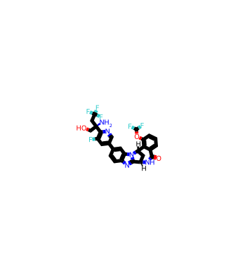 N[C@@](CO)(CC(F)(F)F)c1ncc(-c2ccc3nc4n(c3c2)[C@H]2C[C@H]4NC(=O)c3cccc(OC(F)F)c32)cc1F